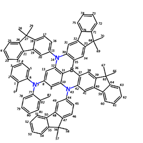 Cc1ccccc1N(c1cc2c3c(c1)N(c1ccc4c(c1)-c1ccccc1C4(C)C)c1cc4c(cc1B3c1cc3c(cc1N2c1ccc2c(c1)-c1ccccc1C2(C)C)-c1ccccc1C3(C)C)C(C)(C)c1ccccc1-4)c1ccccc1C